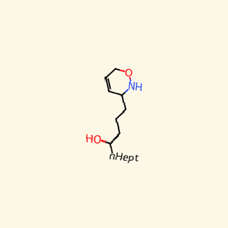 CCCCCCCC(O)CCCC1C=CCON1